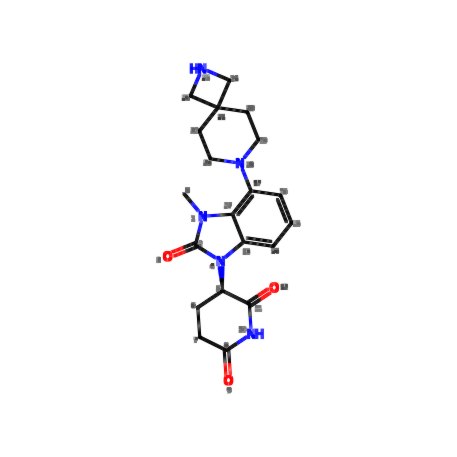 Cn1c(=O)n([C@@H]2CCC(=O)NC2=O)c2cccc(N3CCC4(CC3)CNC4)c21